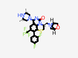 C[C@@H]1CN(c2nc(=O)n3c4c(c(-c5ccc(F)cc5F)c(C(F)(F)F)cc24)SC[C@@H]3CN2C[C@@H]3C[C@H]2CO3)C[C@H](C)N1